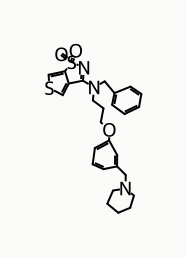 O=S1(=O)N=C(N(CCCOc2cccc(CN3CCCCC3)c2)Cc2ccccc2)c2cscc21